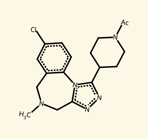 CC(=O)N1CCC(c2nnc3n2-c2ccc(Cl)cc2CN(C)C3)CC1